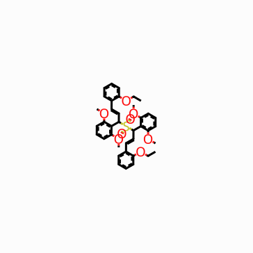 CCOc1ccccc1C=CC(c1c(OC)cccc1OC)S(=O)(=O)C(C=Cc1ccccc1OCC)c1c(OC)cccc1OC